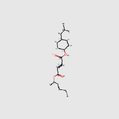 CCCCC(C)OC(=O)/C=C/C(=O)OC1CCC(CC(C)C)CC1